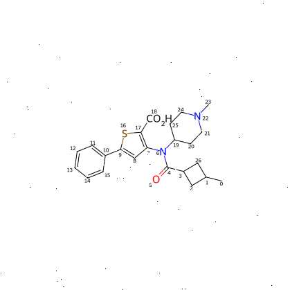 CC1CC(C(=O)N(c2cc(-c3ccccc3)sc2C(=O)O)C2CCN(C)CC2)C1